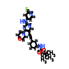 CC(C)(C)OC(=O)N[C@H]1CCC[C@@H](C#Cc2cnc(Nc3ccnc(F)c3)nc2N2CCOCC2)C1